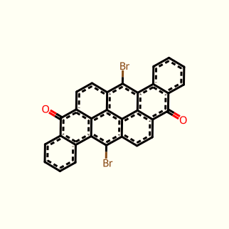 O=c1c2ccccc2c2c(Br)c3ccc4c(=O)c5ccccc5c5c(Br)c6ccc1c2c6c3c45